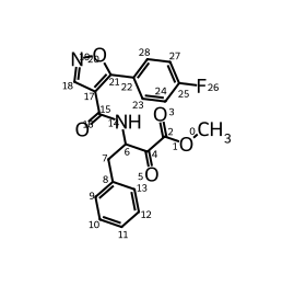 COC(=O)C(=O)C(Cc1ccccc1)NC(=O)c1cnoc1-c1ccc(F)cc1